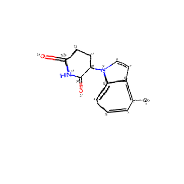 CC(C)(C)c1cccc2c1ccn2C1CCC(=O)NC1=O